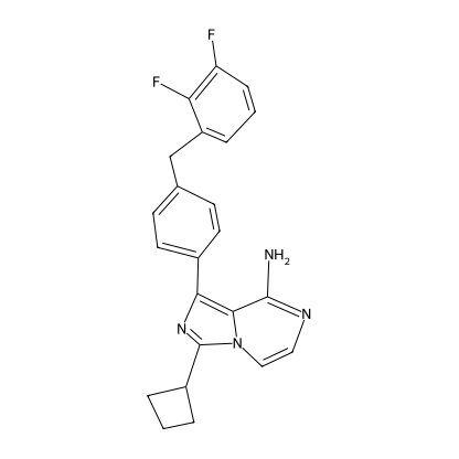 Nc1nccn2c(C3CCC3)nc(-c3ccc(Cc4cccc(F)c4F)cc3)c12